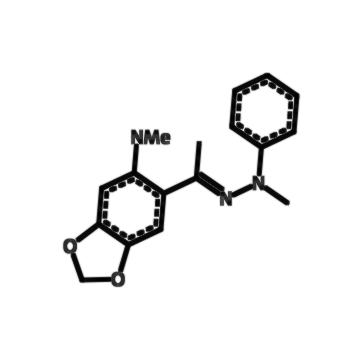 CNc1cc2c(cc1/C(C)=N/N(C)c1ccccc1)OCO2